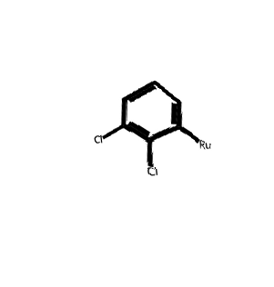 Clc1ccc[c]([Ru])c1Cl